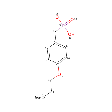 COCCOc1ccc(CP(=O)(O)O)cc1